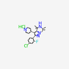 C[C@H]1Cn2nc(-c3ccc(Cl)cc3F)c(-c3ccncc3)c2[C@@H](C)N1.Cl